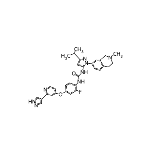 CC(C)c1cc(NC(=O)Nc2ccc(Oc3ccnc(-c4cn[nH]c4)c3)cc2F)n(-c2ccc3c(c2)CN(C)CC3)n1